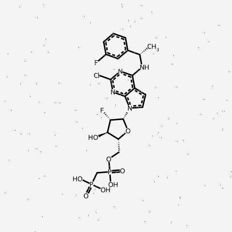 C[C@H](Nc1nc(Cl)nc2c1ccn2[C@@H]1O[C@H](COP(=O)(O)CP(=O)(O)O)[C@@H](O)[C@@H]1F)c1cccc(F)c1